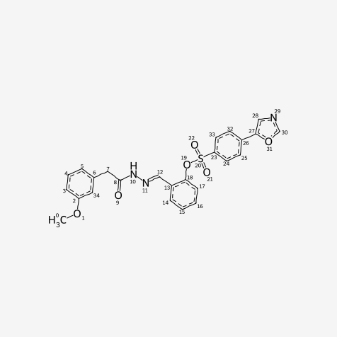 COc1cccc(CC(=O)N/N=C/c2ccccc2OS(=O)(=O)c2ccc(-c3cnco3)cc2)c1